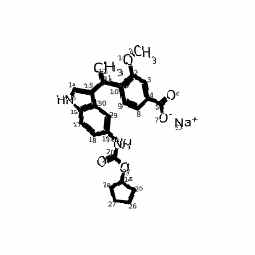 COc1cc(C(=O)[O-])ccc1C(C)c1c[nH]c2ccc(NC(=O)OC3CCCC3)cc12.[Na+]